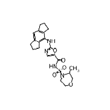 CC1COCCN1S(=O)(=O)NC(=O)c1cnc(Nc2c3c(cc4c2CCC4)CCC3)o1